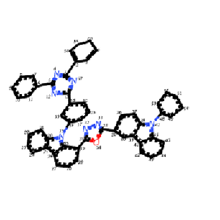 C1=CC(c2nc(-c3ccccc3)nc(-c3cccc(-n4c5ccccc5c5cccc(-c6nnc(-c7ccc8c(c7)c7ccccc7n8-c7ccccc7)o6)c54)c3)n2)=CCC1